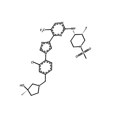 C[C@@]1(O)CCN(Cc2ccc(-n3cnc(-c4nc(N[C@H]5CCN(S(C)(=O)=O)C[C@H]5F)ncc4C(F)(F)F)c3)c(Cl)c2)C1